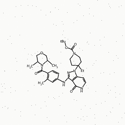 CCC1(n2nc(Nc3ccc(C(=O)N4C(C)COCC4C)c(C)c3)c3c(=O)[nH]ccc32)CCN(C(=O)OC(C)(C)C)CC1